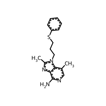 Cc1cnc(N)c2nc(C)n(CCCSc3ccccc3)c12